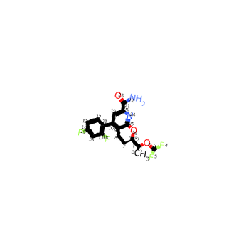 C[C@@H](OC(F)F)[C@H]1CCc2c(-c3ccc(F)cc3F)cc(C(N)=O)nc2O1